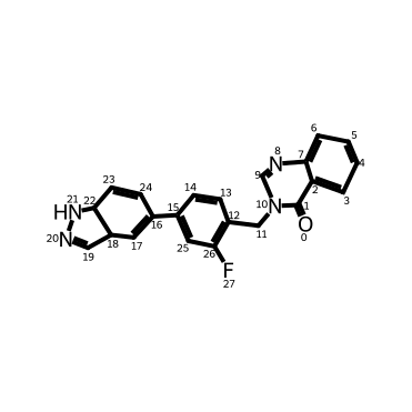 O=c1c2ccccc2ncn1Cc1ccc(C2=CC3C=NNC3C=C2)cc1F